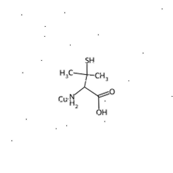 CC(C)(S)C(N)C(=O)O.[Cu]